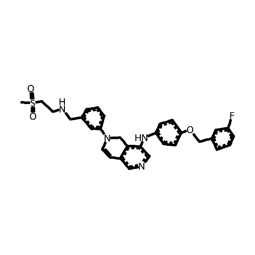 CS(=O)(=O)CCNCc1cccc(N2C=Cc3cncc(Nc4ccc(OCc5cccc(F)c5)cc4)c3C2)c1